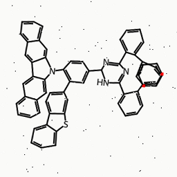 c1ccc(-c2ccccc2C2=NC(c3ccc(-n4c5cc6ccccc6cc5c5cc6ccccc6cc54)c(-c4ccc5c(c4)sc4ccccc45)c3)NC(c3ccccc3-c3ccccc3)=N2)cc1